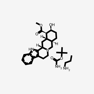 CC(C)(C)OC(N)=O.CCCN.COC(=O)[C@@H]1[C@H]2C[C@H]3c4[nH]c5ccccc5c4CCN3C[C@@H]2CC[C@@H]1O